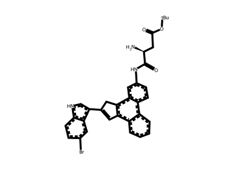 CC(C)(C)OC(=O)C[C@H](N)C(=O)Nc1ccc2c(c1)c1c(c3ccccc32)C=C(c2c[nH]c3ccc(Br)cc23)C1